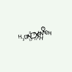 CN1CCC(F)(CNC(=O)O)CC1